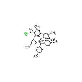 CCCCC1C=C(C(C)(C)C)C=[C]1[Zr+2](=[C](c1ccc(C)cc1)c1ccc(C)cc1)[CH]1c2cc(C)c(C)cc2-c2cc(C)c(C)cc21.[Cl-].[Cl-]